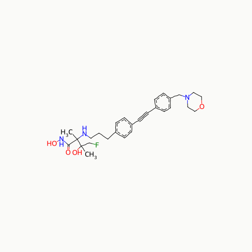 CC(O)(CF)C(C)(NCCCc1ccc(C#Cc2ccc(CN3CCOCC3)cc2)cc1)C(=O)NO